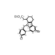 CCOC(=O)CC1CCCc2c1n(Cc1ccc(Cl)cc1)c1ccc(Br)cc21